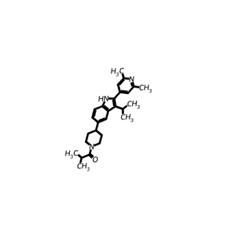 Cc1cc(-c2[nH]c3ccc(C4CCN(C(=O)C(C)C)CC4)cc3c2C(C)C)cc(C)n1